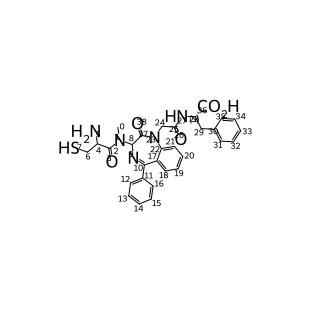 CN(C(=O)C(N)CS)C1N=C(c2ccccc2)c2ccccc2N(CC(=O)N[C@@H](Cc2ccccc2)C(=O)O)C1=O